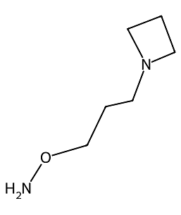 NOCCCN1CCC1